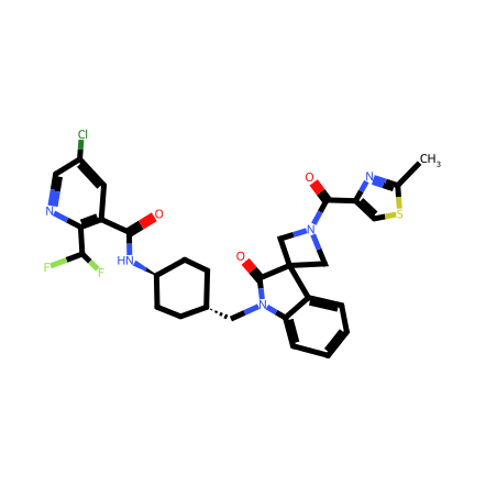 Cc1nc(C(=O)N2CC3(C2)C(=O)N(C[C@H]2CC[C@H](NC(=O)c4cc(Cl)cnc4C(F)F)CC2)c2ccccc23)cs1